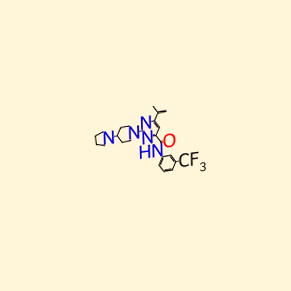 C=C(C)c1cc(C(=O)Nc2cccc(C(F)(F)F)c2)nc(N2CCC(N3CCCC3)CC2)n1